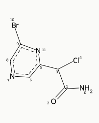 NC(=O)C(Cl)c1cncc(Br)n1